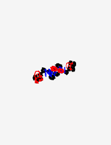 c1ccc(-c2cccc(-c3cc(-c4cccc(-c5ccc6c(c5)Oc5ccccc5C65c6ccccc6-c6ccccc65)c4)nc(-c4ccccc4-c4ccc(-c5cc(-c6cccc(-c7ccc8c(c7)Oc7ccccc7C87c8ccccc8-c8ccccc87)c6)nc(-c6ccccc6)n5)c(-c5ccccc5)c4)n3)c2)cc1